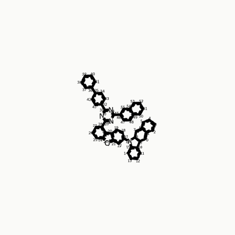 C1=c2ccccc2=CC2C1c1ccccc1N2c1ccc2c(c1)oc1cccc(-c3nc(-c4ccc(-c5ccccc5)cc4)nc(-c4ccc5ccccc5c4)n3)c12